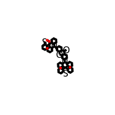 O=c1c2ccc(N3c4ccccc4C4(c5ccccc5Sc5ccccc54)c4ccccc43)cc2oc2cc(N3c4ccccc4C4(c5ccccc5Sc5ccccc54)c4ccccc43)ccc12